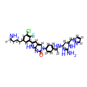 C[C@H](N)CCCc1cc(Cl)c(F)c(-c2cc3cn(-c4ccc([C@H](C)NCC[C@@H](Cn5cccn5)NC(=N)N)cc4)c(=O)nc3[nH]2)c1